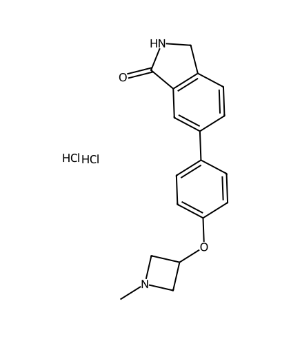 CN1CC(Oc2ccc(-c3ccc4c(c3)C(=O)NC4)cc2)C1.Cl.Cl